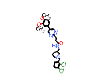 COc1ccc(-c2cnc(CCC(=O)NCC3CCCN(Cc4cccc(Cl)c4Cl)C3)nc2)cc1OC